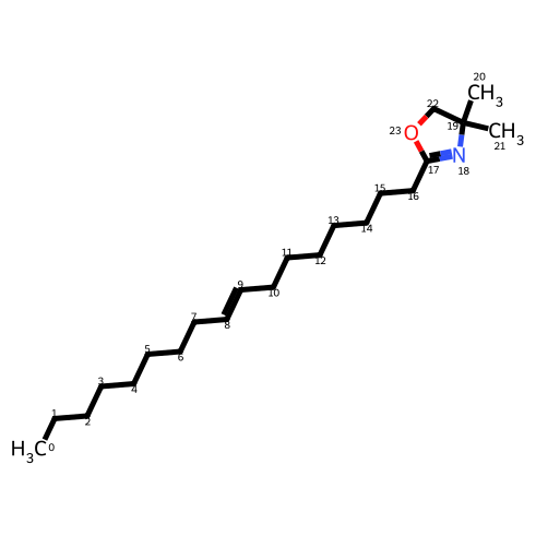 CCCCCCCCC=CCCCCCCCC1=NC(C)(C)CO1